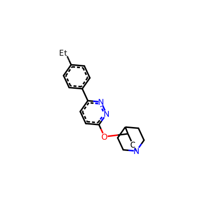 CCc1ccc(-c2ccc(OC3CN4CCC3CC4)nn2)cc1